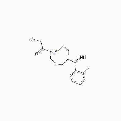 Cc1ccccc1C(=N)C1CC/C=C(\C(=O)CCl)CCC1